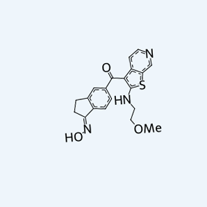 COCCNc1sc2cnccc2c1C(=O)c1ccc2c(c1)CC/C2=N\O